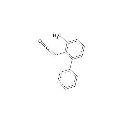 Cc1cccc(-c2ccccc2)c1C=C=O